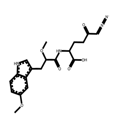 COc1ccc2[nH]cc(CC(OC)C(=O)NC(CCC(=O)C=[N+]=[N-])C(=O)O)c2c1